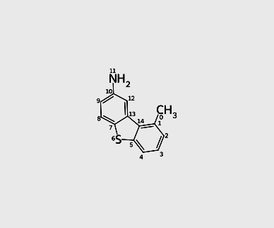 Cc1cccc2sc3ccc(N)cc3c12